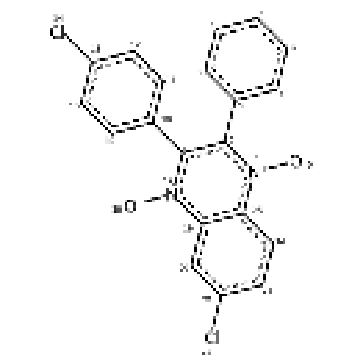 [O-][n+]1c(-c2ccccc2)c(-c2ccc(Cl)cc2)[n+]([O-])c2cc(Cl)ccc21